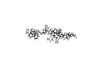 C=C(C(O)C[C@@H]1O[C@H](C[C@H]2CCC(C)(C)O2)[C@H](C)[C@H]1CS(=O)(=O)c1ccc(C)cc1)[C@H](C)C[C@@H](Cl)CC[C@@H]1O[C@@H](CCCO[Si](c2ccccc2)(c2ccccc2)C(C)(C)C)CC1=C